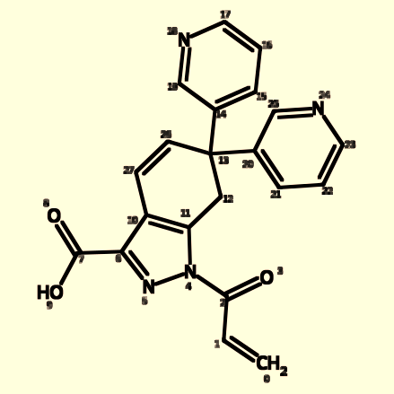 C=CC(=O)n1nc(C(=O)O)c2c1CC(c1cccnc1)(c1cccnc1)C=C2